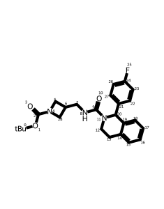 CC(C)(C)OC(=O)N1CC(CNC(=O)N2CCc3ccccc3C2c2ccc(F)cc2)C1